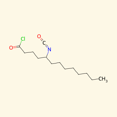 CCCCCCCCC(CCCC(=O)Cl)N=C=O